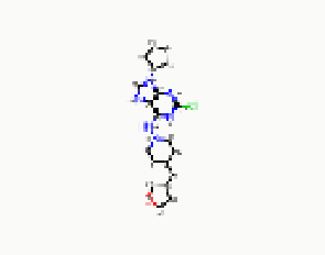 Clc1nc(NN2CCC(CC3CCOC3)CC2)c2ncn(C3CCCC3)c2n1